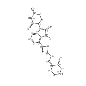 Cn1c(=O)n(C2CCC(=O)NC2=O)c2cccc(C3CC(CO[C@@H]4CCNC[C@@H]4F)C3)c21